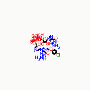 CN1C[C@@H](COP(=O)(O)OP(=O)(O)OP(=O)(O)OC[C@H]2O[C@@H](n3cnc4c(=O)[nH]c(N)nc43)[C@H](O)[C@@H]2O)O[C@@H](n2c[n+](CCOc3ccc(Cl)cc3)c3c(=O)[nH]c(N)nc32)C1